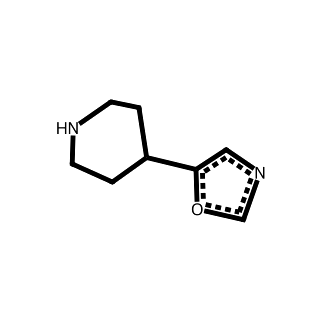 c1ncc(C2CCNCC2)o1